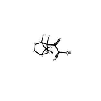 C=C(C(=O)O)C1(I)CC2CCC1(C)C2(C)C